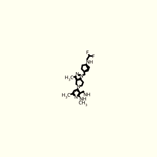 CNc1nc(C)cc(N2CCc3c(c(C)nn3CC34CCC(NCC(F)F)(CC3)C4)C2)c1C=N